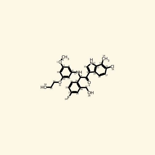 COc1cc(NC(C(=O)c2c[nH]c3c(C)c(Cl)ccc23)c2ccc(F)cc2CO)cc(OCCO)c1